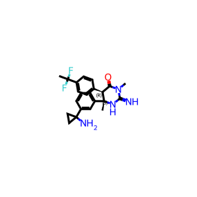 CN1C(=N)N[C@](C)(c2cccc(C3(N)CC3)c2)[C@@H](c2ccc(C(C)(F)F)cc2)C1=O